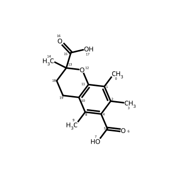 Cc1c(C)c(C(=O)O)c(C)c2c1OC(C)(C(=O)O)CC2